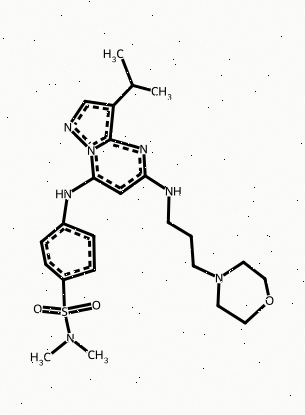 CC(C)c1cnn2c(Nc3ccc(S(=O)(=O)N(C)C)cc3)cc(NCCCN3CCOCC3)nc12